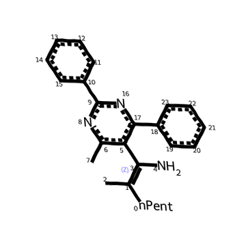 CCCCC/C(C)=C(\N)c1c(C)nc(-c2ccccc2)nc1-c1ccccc1